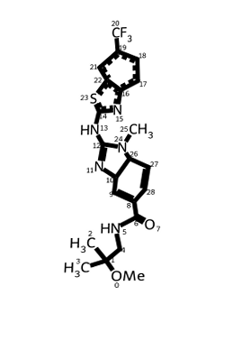 COC(C)(C)CNC(=O)C1=CC2N=C(Nc3nc4ccc(C(F)(F)F)cc4s3)N(C)C2C=C1